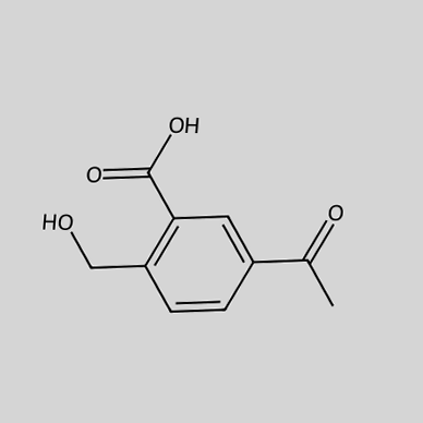 CC(=O)c1ccc(CO)c(C(=O)O)c1